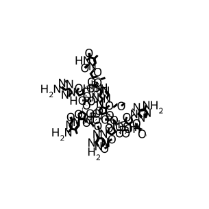 CC[C@H]1O[C@@H](n2cc(C)c(=O)[nH]c2=O)C[C@H]1OP(=O)(S)OC[C@H]1O[C@@H](n2cnc3c(N)ncnc32)C[C@H]1OP(=O)(O)OC[C@H]1O[C@@H](n2cc(C)c(N)nc2=O)C(OCCOC)[C@H]1OP(=O)(O)OC[C@H]1O[C@@H](n2cnc3c(N)ncnc32)C(OCCOC)[C@H]1OP(=O)(S)OC[C@H]1O[C@@H](n2cnc3c(N)ncnc32)C(OCCOC)[C@H]1OP(=O)(S)OC[C@H]1O[C@@H](n2cnc3c(N)ncnc32)C(OCCOC)[C@H]1O